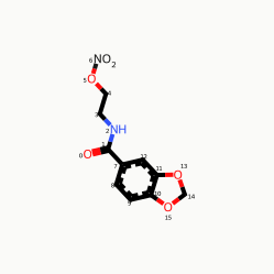 O=C(NCCO[N+](=O)[O-])c1ccc2c(c1)OCO2